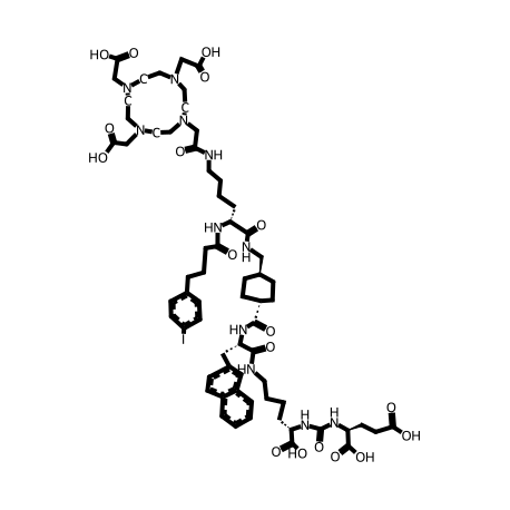 O=C(O)CC[C@H](NC(=O)N[C@@H](CCCCNC(=O)[C@H](Cc1ccc2ccccc2c1)NC(=O)[C@H]1CC[C@H](CNC(=O)[C@@H](CCCCNC(=O)CN2CCN(CC(=O)O)CCN(CC(=O)O)CCN(CC(=O)O)CC2)NC(=O)CCCc2ccc(I)cc2)CC1)C(=O)O)C(=O)O